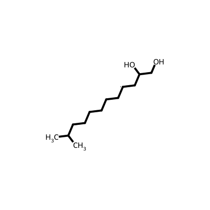 CC(C)CCCCCC[CH]CC(O)CO